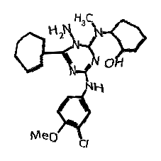 COc1ccc(NC2=NC(N(C)C3CCCCC3O)N(N)C(C3CCCCCC3)=N2)cc1Cl